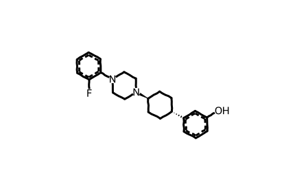 Oc1cccc([C@H]2CC[C@H](N3CCN(c4ccccc4F)CC3)CC2)c1